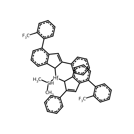 C[SiH](C)[Hf]([CH]1C(c2ccccc2)=Cc2c(-c3ccccc3C(F)(F)F)cccc21)[CH]1C(c2ccccc2)=Cc2c(-c3ccccc3C(F)(F)F)cccc21